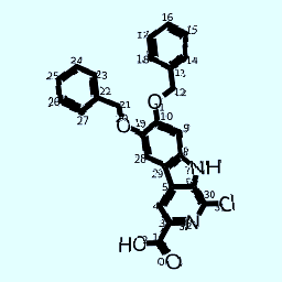 O=C(O)c1cc2c([nH]c3cc(OCc4ccccc4)c(OCc4ccccc4)cc32)c(Cl)n1